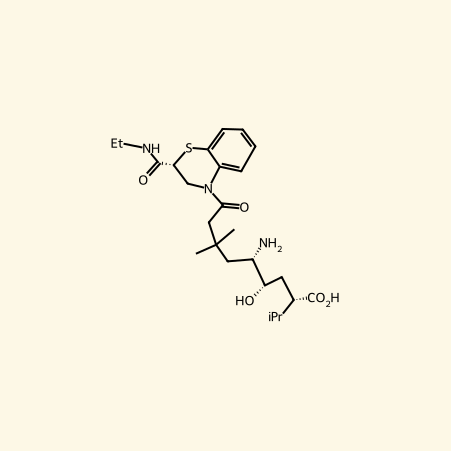 CCNC(=O)[C@H]1CN(C(=O)CC(C)(C)C[C@H](N)[C@@H](O)C[C@H](C(=O)O)C(C)C)c2ccccc2S1